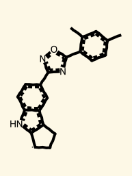 Cc1ccc(-c2nc(-c3ccc4[nH]c5c(c4c3)CC[CH]5)no2)c(C)c1